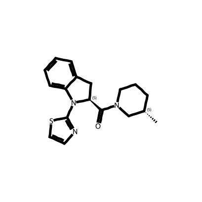 C[C@H]1CCCN(C(=O)[C@@H]2Cc3ccccc3N2c2nccs2)C1